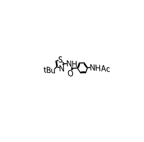 CC(=O)Nc1ccc(C(=O)Nc2nc(C(C)(C)C)cs2)cc1